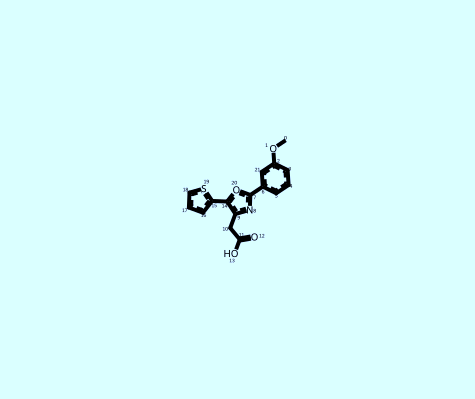 COc1cccc(-c2nc(CC(=O)O)c(-c3cccs3)o2)c1